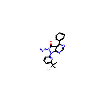 CC(C)(c1cccc(-n2c3ncnc(-c4ccccc4)c3c(=O)n2N)n1)C(F)(F)F